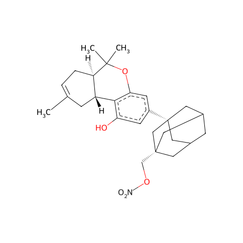 CC1=CC[C@@H]2[C@@H](C1)c1c(O)cc([C@]34CC5CC(C[C@@](CO[N+](=O)[O-])(C5)C3)C4)cc1OC2(C)C